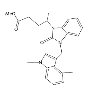 COC(=O)CCC(C)n1c(=O)n(Cc2cn(C)c3cccc(C)c23)c2ccccc21